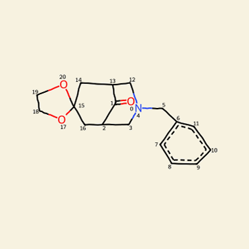 O=C1C2CN(Cc3ccccc3)CC1CC1(C2)OCCO1